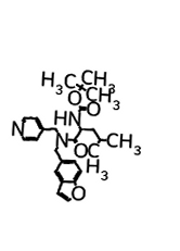 CC(C)C[C@H](NC(=O)OC(C)(C)C)C(=O)N(Cc1ccncc1)Cc1ccc2occc2c1